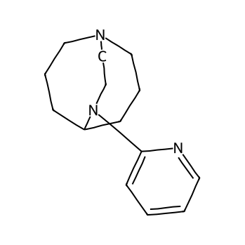 c1ccc(N2CCN3CCCC2CCC3)nc1